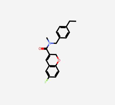 CCc1ccc(CN(C)C(=O)C2=Cc3cc(F)ccc3OC2)cc1